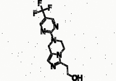 OCCc1ncc2n1CCN(c1ncc(C(F)(F)F)cn1)C2